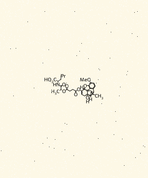 COc1ccc2c3c1O[C@H]1C(OC(=O)CCC(=O)OC(C)C(=O)NC(CC(C)C)C(=O)O)=CC[C@@]4(O)[C@@H](C2)N(C)CC[C@]314